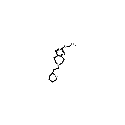 FC(F)(F)COc1ccc2c(n1)CCN(CCC1CCCCO1)CC2